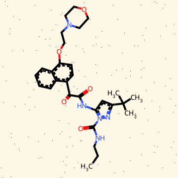 CCCNC(=O)n1nc(C(C)(C)C)cc1NC(=O)C(=O)c1ccc(OCCN2CCOCC2)c2ccccc12